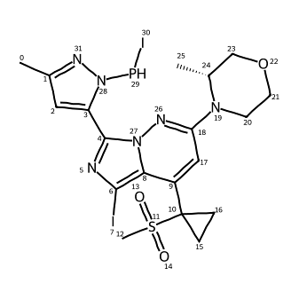 Cc1cc(-c2nc(I)c3c(C4(S(C)(=O)=O)CC4)cc(N4CCOC[C@H]4C)nn23)n(PI)n1